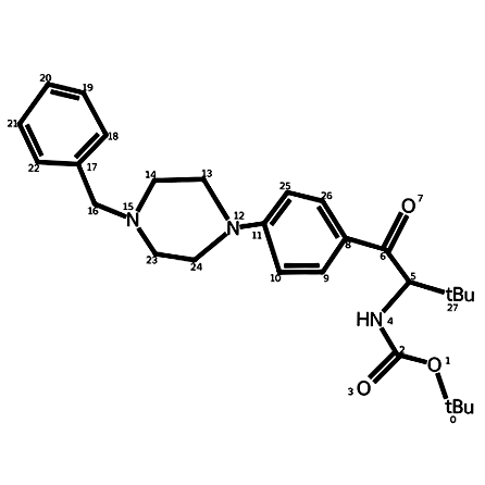 CC(C)(C)OC(=O)NC(C(=O)c1ccc(N2CCN(Cc3ccccc3)CC2)cc1)C(C)(C)C